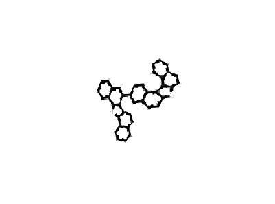 c1ccc2c(c1)ccc1c2[nH]c2c3ccccc3cc(-c3ccc4c(ccc5[nH]c6ccc7ccccc7c6c54)c3)c12